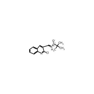 CC(C)(C)[S@+]([O-])N=Cc1cc2ccccc2nc1Cl